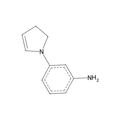 Nc1cccc(N2C=CCC2)c1